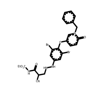 CCOC(=O)NC(=O)C(C#N)CNNc1cc(Br)c(Oc2ccc(=O)n(Cc3ccccc3)c2)c(Br)c1